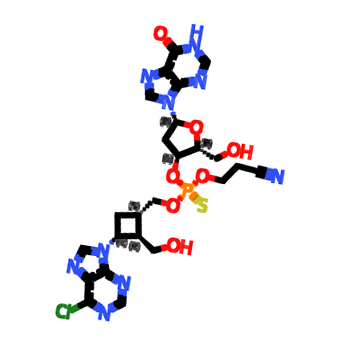 N#CCCOP(=S)(OC[C@H]1C[C@@H](n2cnc3c(Cl)ncnc32)[C@@H]1CO)O[C@H]1C[C@H](n2cnc3c(=O)[nH]cnc32)O[C@@H]1CO